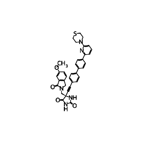 COc1ccc2c(c1)C(=O)N(C[C@@]1(C#Cc3ccc(-c4ccc(-c5cccc(N6CCSCC6)n5)cc4)cc3)NC(=O)NC1=O)C2